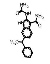 CC(c1ccccc1)c1ccc2c(C(N)=O)c(NC(N)=O)[nH]c2c1